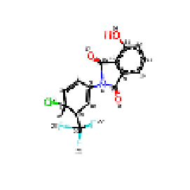 CC1(Cl)C=CC(N2C(=O)c3cccc(O)c3C2=O)=CC1C(F)(F)F